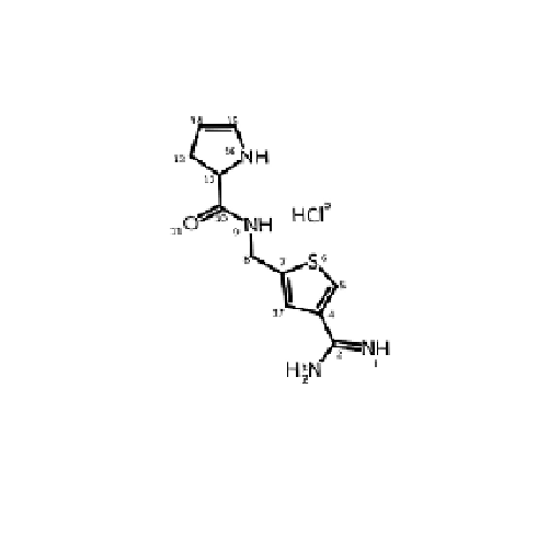 Cl.N=C(N)c1csc(CNC(=O)C2CC=CN2)c1